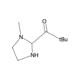 CN1CCNC1C(=O)C(C)(C)C